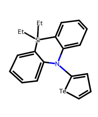 CC[Si]1(CC)c2ccccc2N(c2ccc[te]2)c2ccccc21